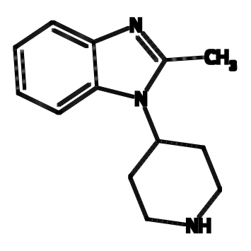 Cc1nc2ccccc2n1C1CCNCC1